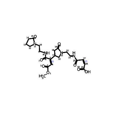 COC(=O)/C=C(\C(=O)NCCN1CCCC1=O)C1CC(=O)N(CCNC(=O)/C=C\C(=O)O)C1